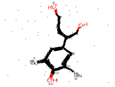 CC(C)(C)c1cc(C(CO)CCO)cc(C(C)(C)C)c1O